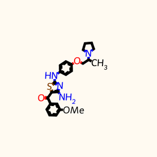 COc1cccc(C(=O)c2sc(Nc3ccc(OCC(C)N4CCCC4)cc3)nc2N)c1